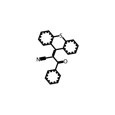 N#CC(C(=O)c1ccccc1)=C1c2ccccc2Sc2ccccc21